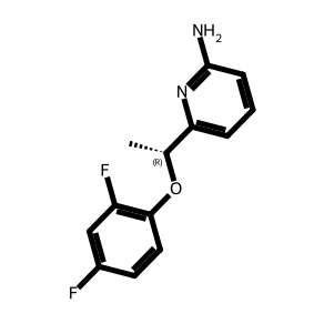 C[C@@H](Oc1ccc(F)cc1F)c1cccc(N)n1